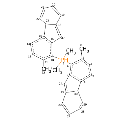 Cc1ccc2c(c1[PH](C)(C)c1c(C)ccc3c1[C]=C1C=CC=CC13)[C]=C1C=CC=CC12